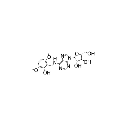 COc1ccc(OC)c(CNc2ncnc3c2ncn3[C@@H]2O[C@H](CO)[C@@H](O)[C@H]2O)c1O